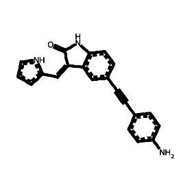 Nc1ccc(C#Cc2ccc3c(c2)C(=Cc2ccc[nH]2)C(=O)N3)cc1